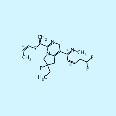 C=C(S/C=C\C)C1=NCC(C(/C=C\CC(F)F)=N/C)=C2CC(F)(CC)CN12